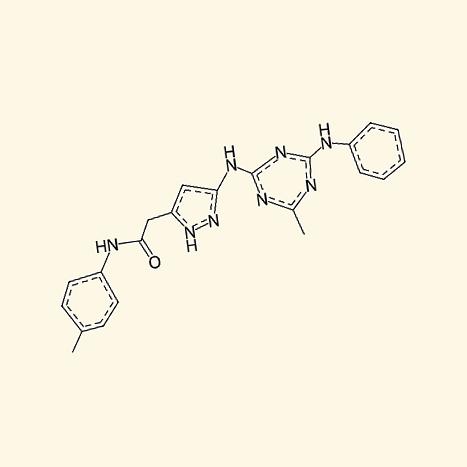 Cc1ccc(NC(=O)Cc2cc(Nc3nc(C)nc(Nc4ccccc4)n3)n[nH]2)cc1